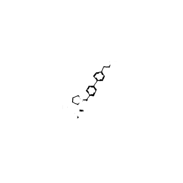 CCCc1ccc(-c2ccc(C(=O)N3CC[C@@H](O)[C@H]3C(=O)OC)cc2)cc1